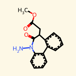 COC(=O)CC1C(=O)N(N)c2ccccc2-c2ccccc21